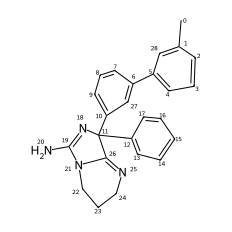 Cc1cccc(-c2cccc(C3(c4ccccc4)N=C(N)N4CCCN=C43)c2)c1